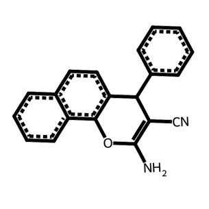 N#CC1=C(N)Oc2c(ccc3ccccc23)C1c1ccccc1